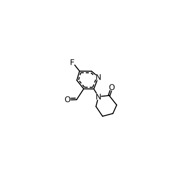 O=Cc1cc(F)cnc1N1CCCCC1=O